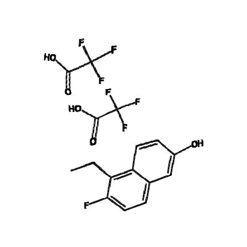 CCc1c(F)ccc2cc(O)ccc12.O=C(O)C(F)(F)F.O=C(O)C(F)(F)F